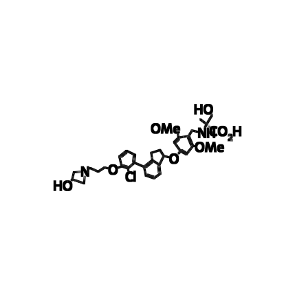 COc1cc(OC2CCc3c(-c4cccc(OCCCN5CC(O)C5)c4Cl)cccc32)cc(OC)c1CN[C@@](C)(CO)C(=O)O